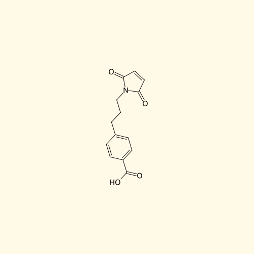 O=C(O)c1ccc(CCCN2C(=O)C=CC2=O)cc1